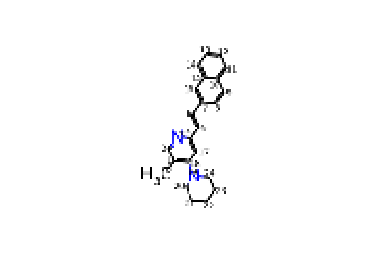 Cc1cnc(/C=C/c2ccc3ccccc3c2)cc1N1CCCCC1